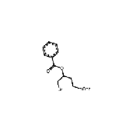 CCCCCCCCCCC(CBr)OC(=O)c1ccccc1